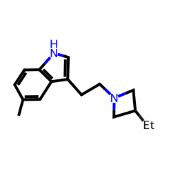 CCC1CN(CCc2c[nH]c3ccc(C)cc23)C1